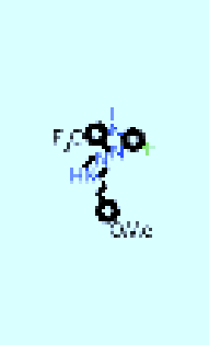 COc1ccc(CC[C@H]2CN(C3=Nc4cc(F)ccc4Nc4ccc(C(F)(F)F)cc43)CCN2)cc1